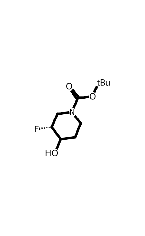 CC(C)(C)OC(=O)N1CCC(O)[C@H](F)C1